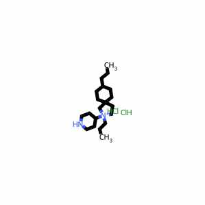 CCCC1CCC2(CC1)CC[N+](CCC)(C1CCNCC1)C2.Cl.Cl